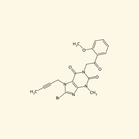 CC#CCn1c(Br)nc2c1c(=O)n(CC(=O)c1ccccc1OC)c(=O)n2C